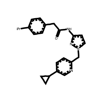 CC(C)c1ccc(CC(=O)Nc2ccn(Cc3ccc(C4CC4)cn3)n2)cc1